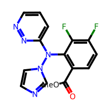 COC(=O)c1ccc(F)c(F)c1N(c1cccnn1)n1ccnc1